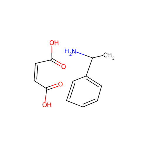 CC(N)c1ccccc1.O=C(O)/C=C\C(=O)O